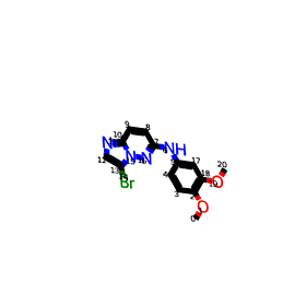 COc1ccc(Nc2ccc3ncc(Br)n3n2)cc1OC